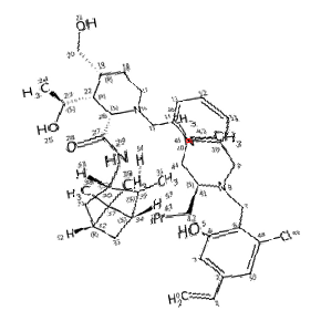 C=Cc1cc(O)c(CN(Cc2cccc(CN3CC[C@@H](CO)[C@@H]([C@H](C)O)[C@H]3C(=O)N[C@H]3C[C@H]4C[C@@H]([C@@H]3C)C4(C)C)c2)[C@@H](CC(C)C)CN(C)C)c(Cl)c1